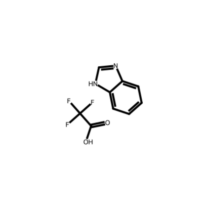 O=C(O)C(F)(F)F.c1ccc2[nH]cnc2c1